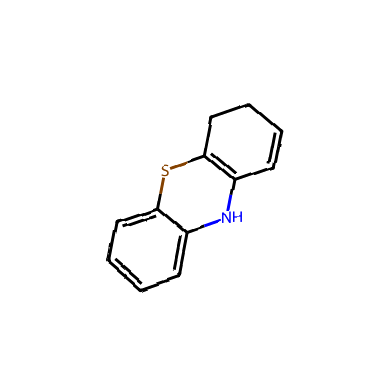 C1=CC2=C(CC1)Sc1ccccc1N2